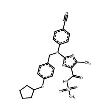 Cc1sc(N(Cc2ccc(OC3CCCC3)cc2)c2ccc(C#N)cc2)nc1C(=O)NS(C)(=O)=O